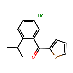 CC(C)c1ccccc1C(=O)c1cccs1.Cl